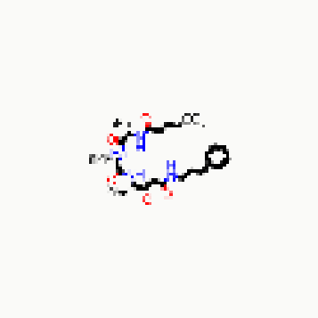 CCC[C@H](NC(=O)[C@@H](NC(=O)CCCC(=O)O)[C@@H](C)CC)C(=O)N[C@@H](CC(C)C)[C@@H](O)CC(=O)NCCCc1ccccc1